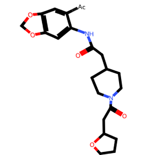 CC(=O)c1cc2c(cc1NC(=O)CC1CCN(C(=O)CC3CCCO3)CC1)OCO2